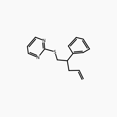 C=CCC(CSc1ncccn1)c1ccccc1